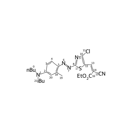 CCCCN(c1ccc(N=Nc2nc(Cl)c(C=C(C#N)C(=O)OCC)s2)c(C)c1)C(C)CC